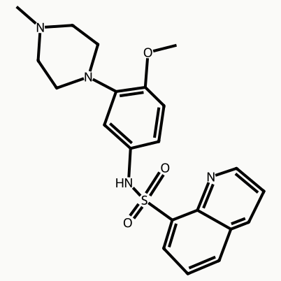 COc1ccc(NS(=O)(=O)c2cccc3cccnc23)cc1N1CCN(C)CC1